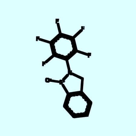 [O-][S+]1c2ccccc2CN1c1c(F)c(F)c(F)c(F)c1F